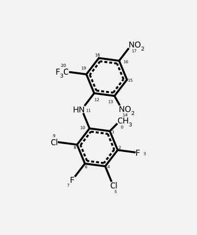 Cc1c(F)c(Cl)c(F)c(Cl)c1Nc1c([N+](=O)[O-])cc([N+](=O)[O-])cc1C(F)(F)F